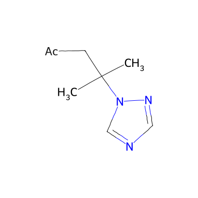 CC(=O)CC(C)(C)n1cncn1